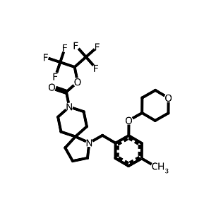 Cc1ccc(CN2CCCC23CCN(C(=O)OC(C(F)(F)F)C(F)(F)F)CC3)c(OC2CCOCC2)c1